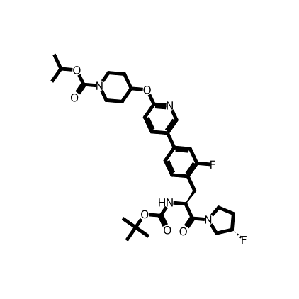 CC(C)OC(=O)N1CCC(Oc2ccc(-c3ccc(C[C@H](NC(=O)OC(C)(C)C)C(=O)N4CC[C@H](F)C4)c(F)c3)cn2)CC1